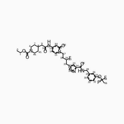 CCOC(=O)N1CCC(CC(=O)Nc2ccn(CCC(F)Cn3cc(C(=O)NCc4cccc(OC(C)(F)F)c4)nn3)c(=O)c2)CC1